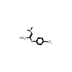 CN(C)C=C(Sc1ccc(C(F)(F)F)cc1)C(=O)O